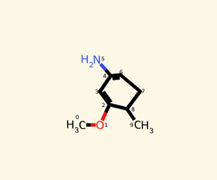 COC1=CC(N)=CCC1C